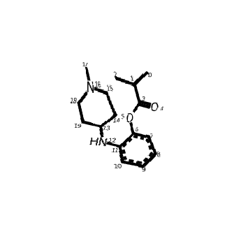 CC(C)C(=O)Oc1ccccc1NC1CCN(C)CC1